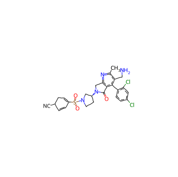 Cc1nc2c(c(-c3ccc(Cl)cc3Cl)c1CN)C(=O)N([C@H]1CCN(S(=O)(=O)C3=CCC(C#N)C=C3)C1)C2